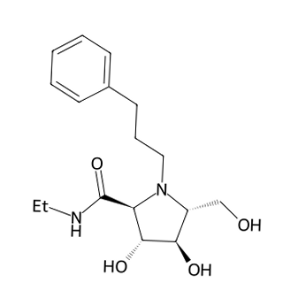 CCNC(=O)[C@@H]1[C@@H](O)[C@H](O)[C@@H](CO)N1CCCc1ccccc1